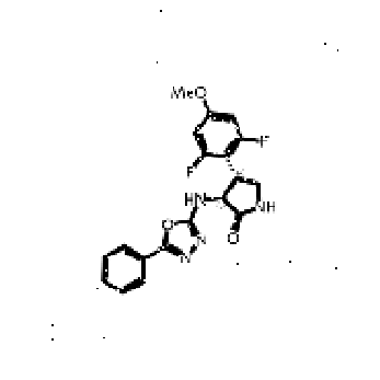 COc1cc(F)c([C@@H]2CNC(=O)[C@H]2Nc2nnc(-c3ccccc3)o2)c(F)c1